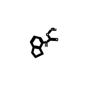 CC(C)(C)OC(=O)Nc1cccc2c1CCC2